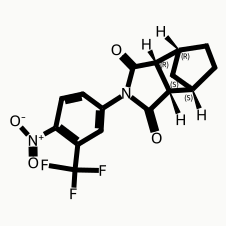 O=C1[C@@H]2[C@@H]3CC[C@@H](C3)[C@@H]2C(=O)N1c1ccc([N+](=O)[O-])c(C(F)(F)F)c1